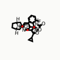 O=c1[nH]c(-c2ccc(N3[C@@H]4CC[C@H]3CC(OCc3c(-c5c(F)cccc5F)noc3C3CC3)C4)nc2)no1